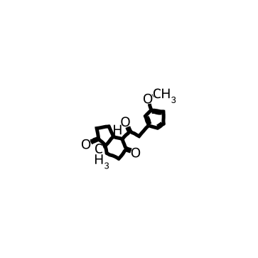 COc1cccc(CC(=O)C2C(=O)CCC3(C)C(=O)CC[C@@H]23)c1